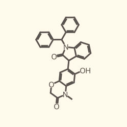 CN1C(=O)COc2cc(C3C(=O)N(C(c4ccccc4)c4ccccc4)c4ccccc43)c(O)cc21